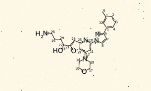 Cc1cccc(-c2ccn(-c3cc(N4CCOCC4)c4oc(C(O)CCCN)cc4n3)n2)c1